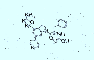 Nc1nnc(-c2cc(-c3ccncc3)cc3c2CCN3C(=O)[C@H](Cc2ccccc2)NC(=O)O)o1